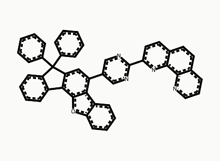 c1ccc(C2(c3ccccc3)c3ccccc3-c3c2cc(-c2cnc(-c4ccc5ccc6cccnc6c5n4)nc2)c2c3oc3ccccc32)cc1